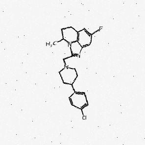 CC1CCc2cc(F)cc3nc(CN4CCC(c5ccc(Cl)cc5)CC4)n1c23